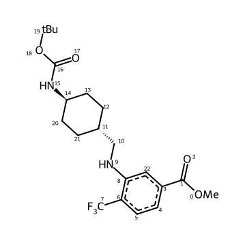 COC(=O)c1ccc(C(F)(F)F)c(NC[C@H]2CC[C@H](NC(=O)OC(C)(C)C)CC2)c1